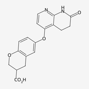 O=C1CCc2c(Oc3ccc4c(c3)CC(C(=O)O)CO4)ccnc2N1